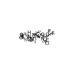 CC1(NC(=O)c2cn3nc(Oc4ncc(Cl)cc4OCC(F)F)ccc3n2)CCS(=O)(=O)CC1